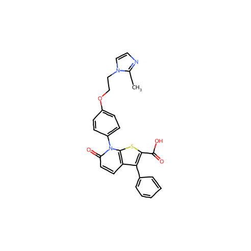 Cc1nccn1CCOc1ccc(-n2c(=O)ccc3c(-c4ccccc4)c(C(=O)O)sc32)cc1